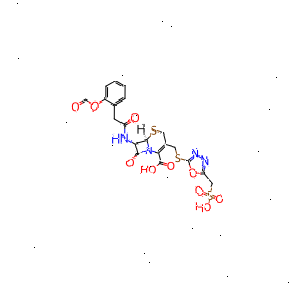 O=COc1ccccc1CC(=O)NC1C(=O)N2C(C(=O)O)=C(CSc3nnc(CS(=O)(=O)O)o3)CS[C@H]12